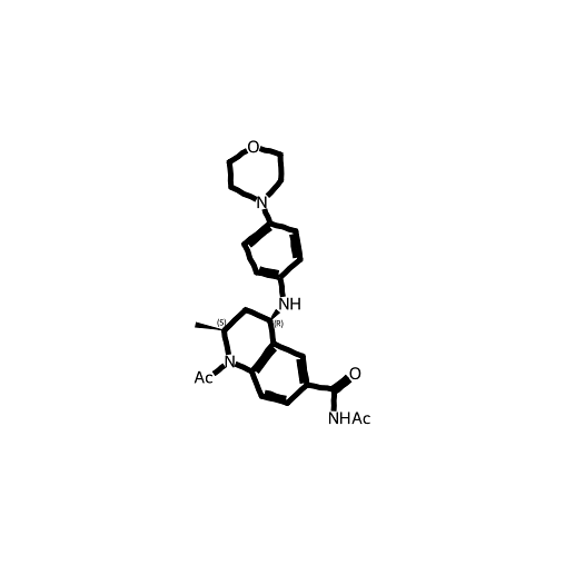 CC(=O)NC(=O)c1ccc2c(c1)[C@H](Nc1ccc(N3CCOCC3)cc1)C[C@H](C)N2C(C)=O